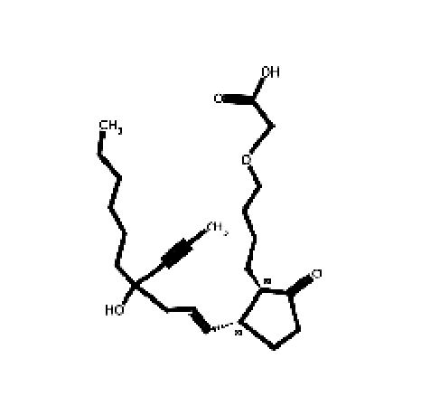 CC#CC(O)(CC=C[C@H]1CCC(=O)[C@@H]1CCCCOCC(=O)O)CCCCCC